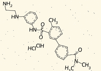 Cc1ccc(-c2cccc(C(=O)N(C)C)c2)cc1S(=O)(=O)Nc1cccc(NCCN)c1.Cl.Cl